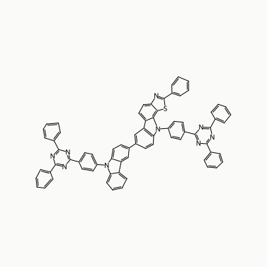 c1ccc(-c2nc(-c3ccccc3)nc(-c3ccc(-n4c5ccccc5c5cc(-c6ccc7c(c6)c6ccc8nc(-c9ccccc9)sc8c6n7-c6ccc(-c7nc(-c8ccccc8)nc(-c8ccccc8)n7)cc6)ccc54)cc3)n2)cc1